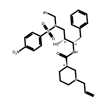 C=CCN1CCC[C@@H](C(=O)N[C@@H](Cc2ccccc2)[C@H](O)CN(CC(C)C)S(=O)(=O)c2ccc([N+](=O)[O-])cc2)C1